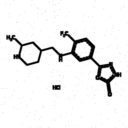 CC1CC(CNc2cc(-c3n[nH]c(=O)o3)ccc2C(F)(F)F)CCN1.Cl